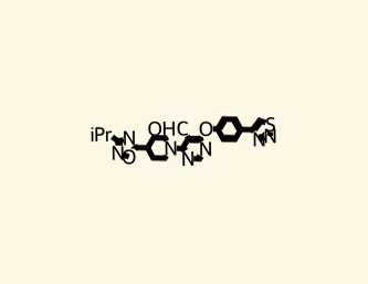 CC(C)c1noc(C2CCN(c3ncnc(Oc4ccc(-c5csnn5)cc4)c3C=O)CC2)n1